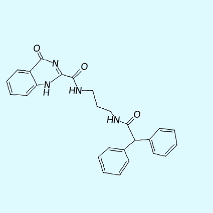 O=C(NCCCNC(=O)C(c1ccccc1)c1ccccc1)c1nc(=O)c2ccccc2[nH]1